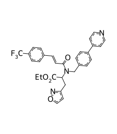 CCOC(=O)C(Cc1ccon1)N(Cc1ccc(-c2ccncc2)cc1)C(=O)C=Cc1ccc(C(F)(F)F)cc1